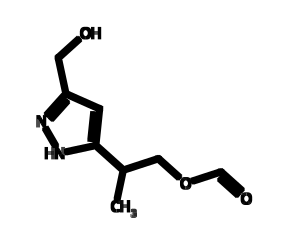 CC(COC=O)c1cc(CO)n[nH]1